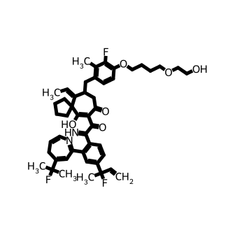 C=CC(C)(F)c1ccc(C(=N)C(=O)C2=C(O)C3(CCCC3)/C(=C\C)C(Cc3ccc(OCCCCOCCO)c(F)c3C)CC2=O)c(C2=NC=CCC(C(C)(C)F)=C2)c1